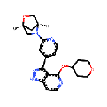 c1cc(-c2n[nH]c3ccnc(OC4CCOCC4)c23)cc(N2C[C@@H]3C[C@H]2CO3)n1